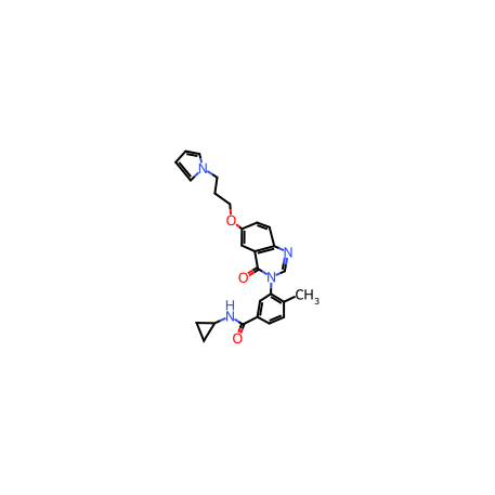 Cc1ccc(C(=O)NC2CC2)cc1-n1cnc2ccc(OCCCn3cccc3)cc2c1=O